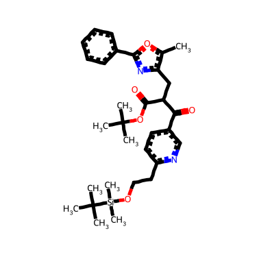 Cc1oc(-c2ccccc2)nc1CC(C(=O)OC(C)(C)C)C(=O)c1ccc(CCO[Si](C)(C)C(C)(C)C)nc1